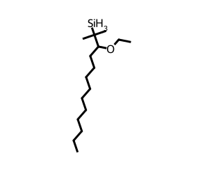 CCCCCCCCCCC(OCC)C(C)(C)[SiH3]